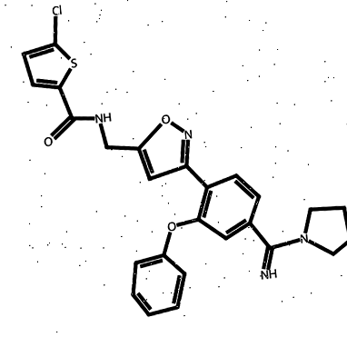 N=C(c1ccc(-c2cc(CNC(=O)c3ccc(Cl)s3)on2)c(Oc2ccccc2)c1)N1CCCC1